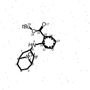 CN1C2CCCC1CC(Nc1ccccc1C(=O)OC(C)(C)C)C2